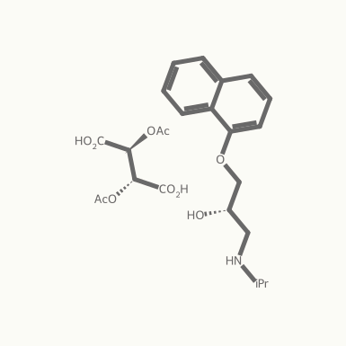 CC(=O)O[C@H](C(=O)O)[C@@H](OC(C)=O)C(=O)O.CC(C)NC[C@H](O)COc1cccc2ccccc12